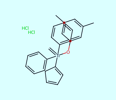 Cl.Cl.[CH2]=[Ti]([O]c1cc(C)cc(C)c1)([C]1=CC=CC1)([c]1ccccc1)[c]1ccccc1